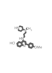 COc1ccc(-c2cc(NCCCN(C)C3CCNCC3)c3ccccc3n2)cc1.Cl